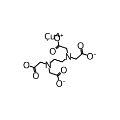 O=C([O-])CN(CCN(CC(=O)[O-])CC(=O)[O-])CC(=O)[O-].[Cu+4]